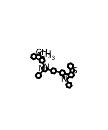 CC1(C)c2ccccc2-c2cc(-c3nc(-c4ccccc4)cc(-c4ccc(-c5ccc6c(c5)nc(-c5ccccc5)c5ccc7sc8ccccc8c7c56)cc4)n3)ccc21